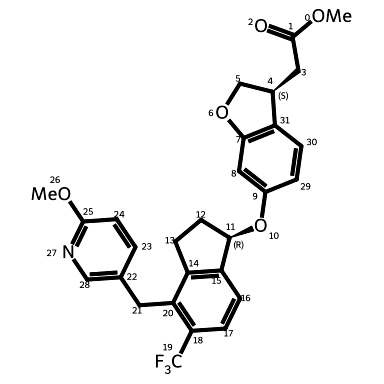 COC(=O)C[C@@H]1COc2cc(O[C@@H]3CCc4c3ccc(C(F)(F)F)c4Cc3ccc(OC)nc3)ccc21